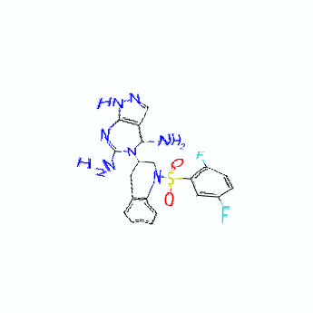 NC1=Nc2[nH]ncc2C(N)N1C1Cc2ccccc2N(S(=O)(=O)c2cc(F)ccc2F)C1